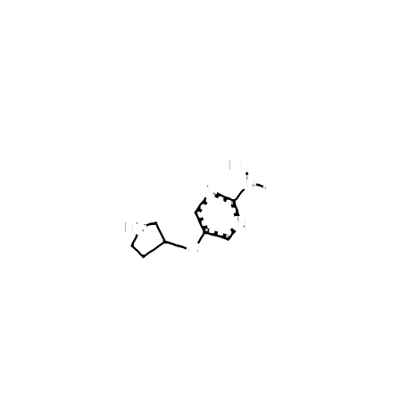 CN(C)c1ncc(OC2CCNC2)cn1